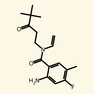 C=CN(CCC(=O)C(C)(C)C)C(=O)c1cc(C)c(F)cc1N